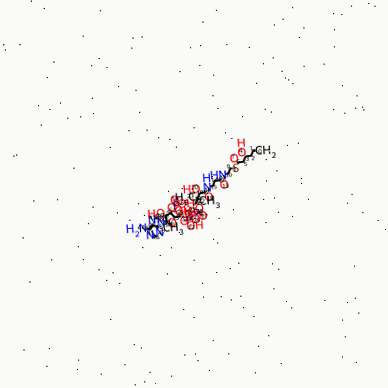 C=CCC(O)CC(=O)SCCNC(=O)CCNC(=O)C(O)C(C)(C)COP(=O)(O)OP(=O)(O)OCC1OC(C)(n2cnc3c(N)ncnc32)C(O)C1OP(=O)(O)O